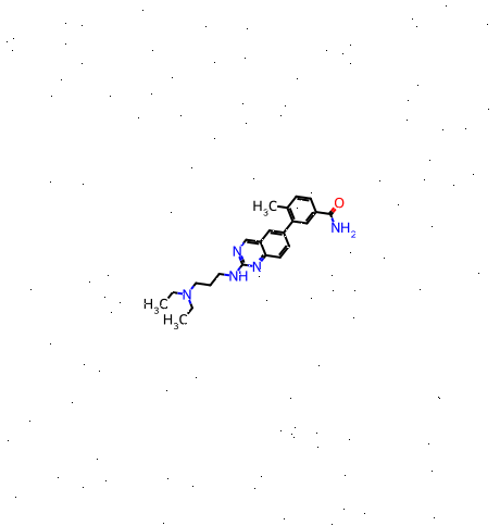 CCN(CC)CCCNc1ncc2cc(-c3cc(C(N)=O)ccc3C)ccc2n1